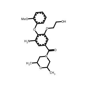 COc1ccccc1Oc1c(N)cc(C(=O)N2CC(C)OC(C)C2)cc1OCCO